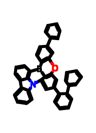 c1ccc(-c2ccc3c(c2)Oc2cc(-c4ccccc4-c4ccccc4)cc4c2B3c2cccc3c5ccccc5n-4c23)cc1